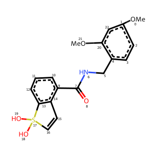 COc1ccc(CNC(=O)c2cccc3c2C=CS3(O)O)c(OC)c1